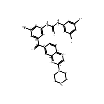 O=C(Nc1cc(F)cc(F)c1)Nc1cc(F)cc(C(=O)c2ccc3ncc(N4CCOCC4)nc3c2)c1